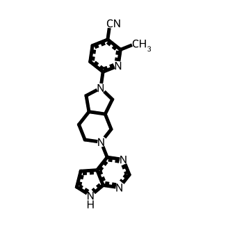 Cc1nc(N2CC3CCN(c4ncnc5[nH]ccc45)CC3C2)ccc1C#N